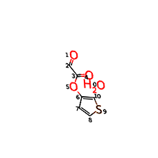 O.O=CC(=O)Oc1ccsc1